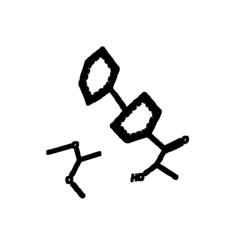 CC(O)C(=O)c1ccc(-c2ccccc2)cc1.COC(C)OC